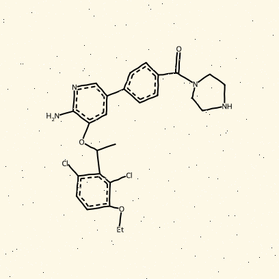 CCOc1ccc(Cl)c(C(C)Oc2cc(-c3ccc(C(=O)N4CCNCC4)cc3)cnc2N)c1Cl